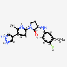 CCc1nc(N2CCC(Nc3ccc(F)c(OC)c3)C2=O)ccc1-c1cn[nH]c1